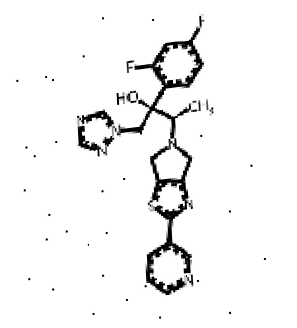 C[C@@H](N1Cc2nc(-c3cccnc3)sc2C1)[C@](O)(Cn1cncn1)c1ccc(F)cc1F